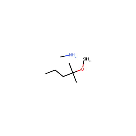 CCCC(C)(C)O[SiH3].CN